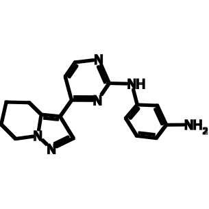 Nc1cccc(Nc2nccc(-c3cnn4c3CCCC4)n2)c1